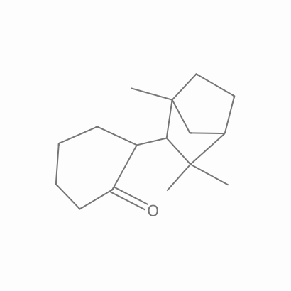 CC12CCC(C1)C(C)(C)C2C1CCCCC1=O